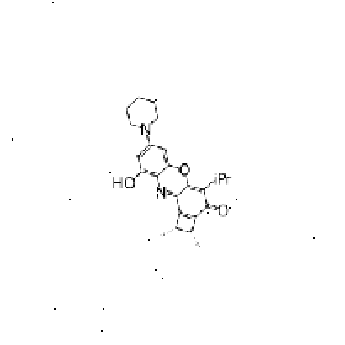 CC(C)c1c2oc3cc(N4CCCCC4)cc(O)c3nc-2c2c(c1=O)[C@H](C)[C@@H]2C